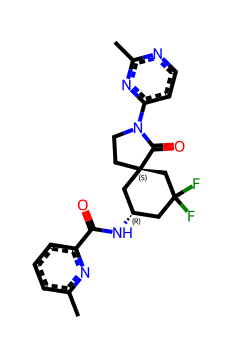 Cc1cccc(C(=O)N[C@H]2CC(F)(F)C[C@]3(CCN(c4ccnc(C)n4)C3=O)C2)n1